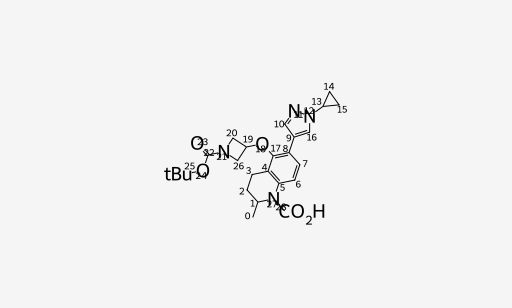 CC1CCc2c(ccc(-c3cnn(C4CC4)c3)c2OC2CN(C(=O)OC(C)(C)C)C2)N1C(=O)O